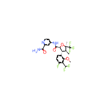 COc1c([C@@H]2[C@@H](C(=O)Nc3ccnc(C(N)=O)c3)O[C@@](C)(C(F)(F)F)[C@H]2C)ccc(F)c1C(F)F